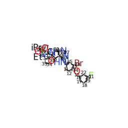 CCN(C(C)C1(c2cc3c(Nc4ccc(OCc5cccc(F)c5)c(Br)c4)ncnc3cn2)CC=CO1)S(=O)(=O)C(C)C